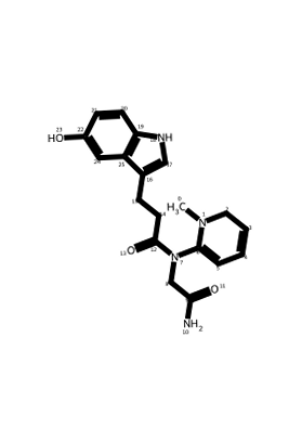 CN1CC=CC=C1N(CC(N)=O)C(=O)[CH]Cc1c[nH]c2ccc(O)cc12